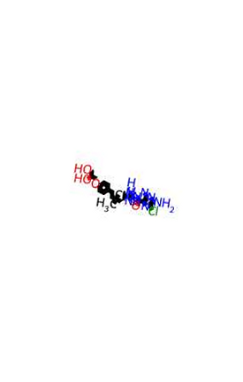 CC(C)(CCc1ccc(OCC(O)CO)cc1)C[C@H]1CN/C(=N/C(=O)c2nc(Cl)c(N)nc2N)N1